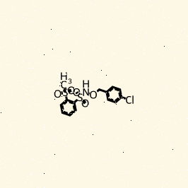 CS(=O)(=O)c1ccccc1S(=O)(=O)NOCc1ccc(Cl)cc1